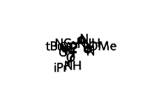 COc1ncccc1Nc1nccc(-c2cc(C#N)c3c(c2)C(C)(COCCNC(C)C)CN3C(=O)OC(C)(C)C)n1